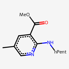 CCCCCNc1ncc(C)cc1C(=O)OC